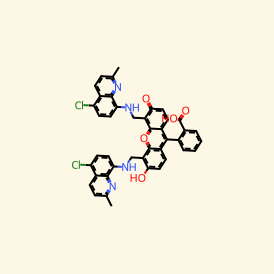 Cc1ccc2c(Cl)ccc(NCc3c4oc5c(CNc6ccc(Cl)c7ccc(C)nc67)c(O)ccc5c(-c5ccccc5C(=O)O)c-4ccc3=O)c2n1